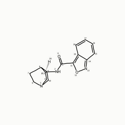 O=C(N[C@H]1CN2CCC1CC2)c1onc2ccccc12